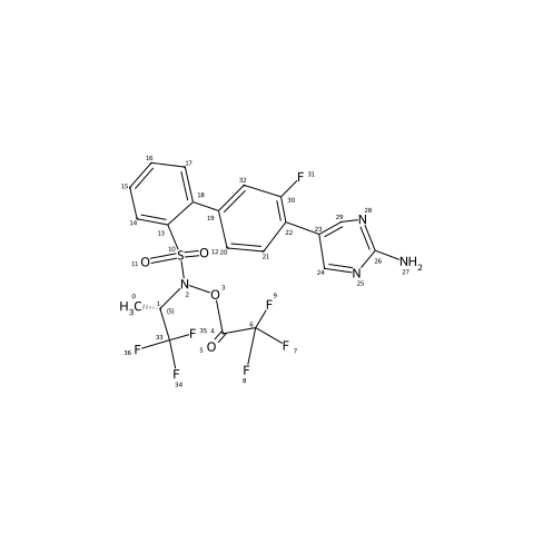 C[C@H](N(OC(=O)C(F)(F)F)S(=O)(=O)c1ccccc1-c1ccc(-c2cnc(N)nc2)c(F)c1)C(F)(F)F